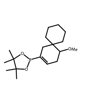 COC1CC=C(B2OC(C)(C)C(C)(C)O2)CC12CCCCC2